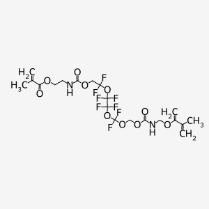 C=C(C)C(=C)OCNC(=O)OCOC(F)(F)OC(F)(F)C(F)(F)OC(F)(F)COC(=O)NCCOC(=O)C(=C)C